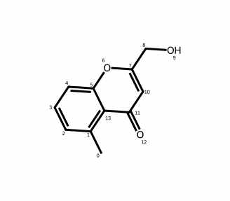 Cc1cccc2oc(CO)cc(=O)c12